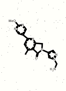 COc1ncc(-c2cc(C)c3c(n2)CN(c2cnn(CN)c2)C3=O)cn1